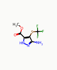 COC(=O)c1[nH]nc(N)c1SC(F)(F)F